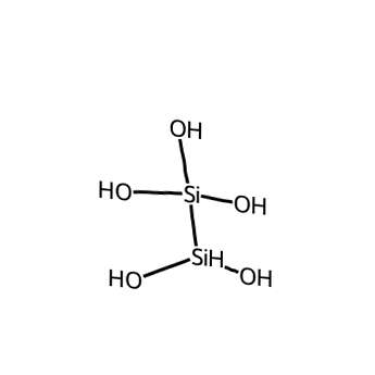 O[SiH](O)[Si](O)(O)O